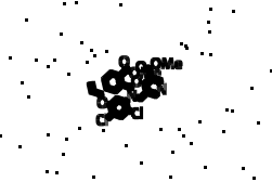 C=CCOc1cc(N(Cc2cncc(C(=O)OC)c2)C(=O)C2=C(C(=O)OC)CCCC2)c(Cl)cc1Cl